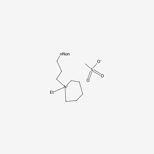 CCCCCCCCCCCC[N+]1(CC)CCCCC1.CS(=O)(=O)[O-]